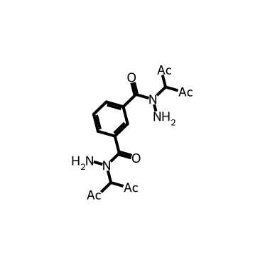 CC(=O)C(C(C)=O)N(N)C(=O)c1cccc(C(=O)N(N)C(C(C)=O)C(C)=O)c1